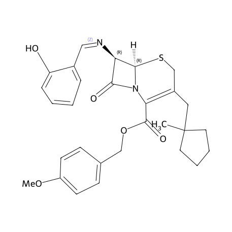 COc1ccc(COC(=O)C2=C(CC3(C)CCCC3)CS[C@@H]3[C@H](/N=C\c4ccccc4O)C(=O)N23)cc1